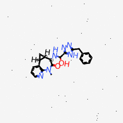 CN1C(=O)[C@@H](NC(O)c2nnc(Cc3ccccc3)[nH]2)[C@H]2C[C@H]2c2cccnc21